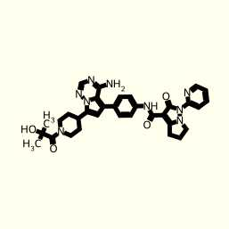 CC(C)(O)C(=O)N1CCC(c2cc(-c3ccc(NC(=O)c4c5n(n(-c6ccccn6)c4=O)CCC5)cc3)c3c(N)ncnn23)CC1